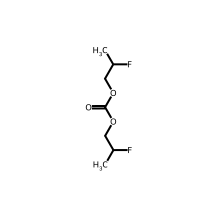 CC(F)COC(=O)OCC(C)F